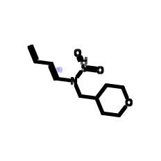 C=C/C=C/N(CC1CCOCC1)[SH](=O)=O